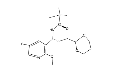 COc1ncc(F)cc1[C@@H](CCC1OCCCO1)N[S@+]([O-])C(C)(C)C